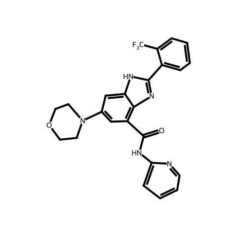 O=C(Nc1ccccn1)c1cc(N2CCOCC2)cc2[nH]c(-c3ccccc3C(F)(F)F)nc12